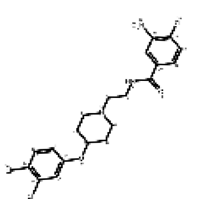 O=C(NCCN1CCC(Oc2ccc(Cl)c(Cl)c2)CC1)c1ccc(Cl)c([N+](=O)[O-])c1